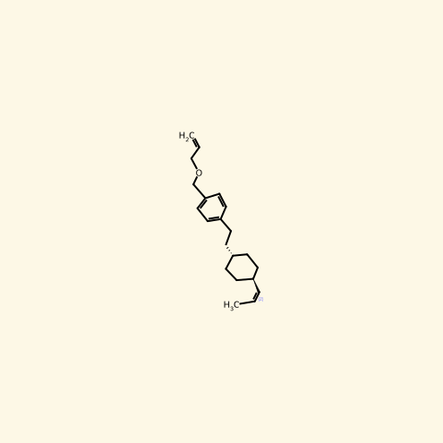 C=CCOCc1ccc(CC[C@H]2CC[C@H](/C=C\C)CC2)cc1